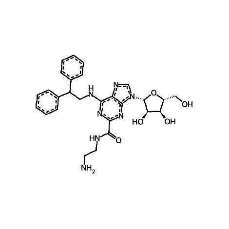 NCCNC(=O)c1nc(NCC(c2ccccc2)c2ccccc2)c2ncn([C@@H]3O[C@H](CO)[C@@H](O)[C@H]3O)c2n1